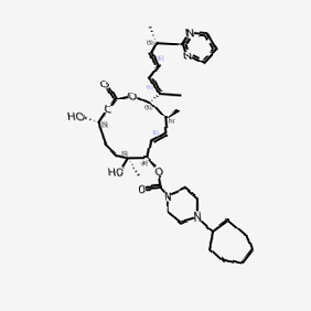 C/C(=C\C=C\[C@H](C)c1ncccn1)[C@H]1OC(=O)C[C@@H](O)CC[C@](C)(O)[C@H](OC(=O)N2CCN(C3CCCCCC3)CC2)/C=C/[C@@H]1C